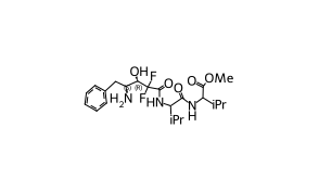 COC(=O)C(NC(=O)C(NC(=O)C(F)(F)[C@H](O)[C@@H](N)Cc1ccccc1)C(C)C)C(C)C